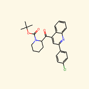 CC(C)(C)OC(=O)N1CCCCC1C(=O)c1cc(-c2ccc(Cl)cc2)nc2ccccc12